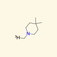 [3H]CN1CCC(C)(C)CC1